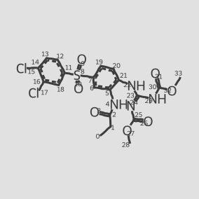 CCC(=O)Nc1cc(S(=O)(=O)c2ccc(Cl)c(Cl)c2)ccc1NC(=NC(=O)OC)NC(=O)OC